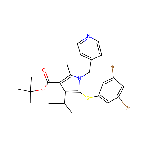 Cc1c(C(=O)OC(C)(C)C)c(C(C)C)c(Sc2cc(Br)cc(Br)c2)n1Cc1ccncc1